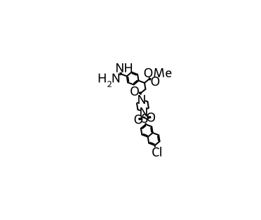 COC(=O)C(CC(=O)N1CCN(S(=O)(=O)c2ccc3cc(Cl)ccc3c2)CC1)c1ccc(C(=N)N)cc1